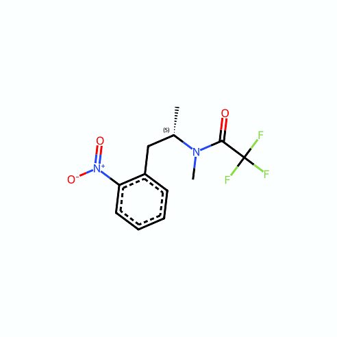 C[C@@H](Cc1ccccc1[N+](=O)[O-])N(C)C(=O)C(F)(F)F